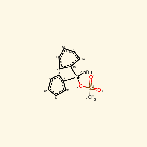 CCCC[Si](OS(=O)(=O)C(F)(F)F)(c1ccccc1)c1ccccc1